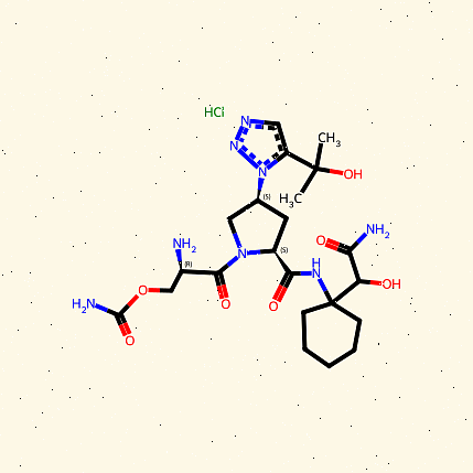 CC(C)(O)c1cnnn1[C@H]1C[C@@H](C(=O)NC2(C(O)C(N)=O)CCCCC2)N(C(=O)[C@H](N)COC(N)=O)C1.Cl